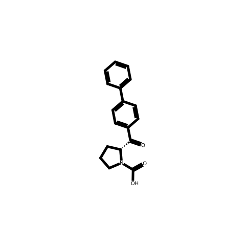 O=C(c1ccc(-c2ccccc2)cc1)[C@H]1CCCN1C(=O)O